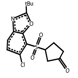 CC(C)(C)c1nc2ccc(Cl)c(S(=O)(=O)C3CCC(=O)C3)c2o1